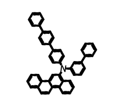 c1ccc(-c2ccc(-c3ccc(N(c4cccc(-c5ccccc5)c4)c4cc5c6ccccc6ccc5c5ccccc45)cc3)cc2)cc1